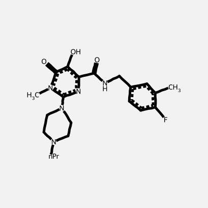 CCCN1CCN(c2nc(C(=O)NCc3ccc(F)c(C)c3)c(O)c(=O)n2C)CC1